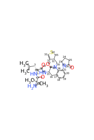 CC(C)C[C@@H](NC(=O)C(C)(C)N)C(=O)NC1Cc2cccc(N3CCCC3=O)c2N(CC2C=CSC2)C1=O